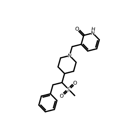 CS(=O)(=O)C(Cc1ccccc1)C1CCN(Cc2ccc[nH]c2=O)CC1